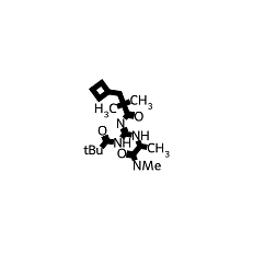 CNC(=O)C(C)N/C(=N\C(=O)C(C)(C)CC1CCC1)NC(=O)C(C)(C)C